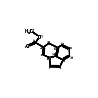 COC(=O)C1=Cn2ccc3cccc(c32)C1